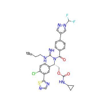 CC(C)(C)CCNC(=N)N(C(=O)c1ccc(-c2cnn(C(F)F)c2)cc1)[C@H](COC(=O)NC1CC1)c1ccc(Cl)c(-c2ncns2)c1